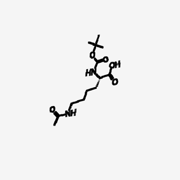 CC(=O)NCCCC[C@H](NC(=O)OC(C)(C)C)C(=O)O